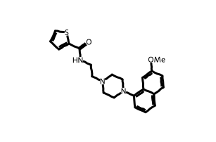 COc1ccc2cccc(N3CCN(CCNC(=O)c4cccs4)CC3)c2c1